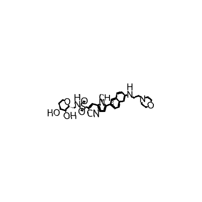 Cn1c(/C=C(\C#N)S(=O)(=O)NC[C@H]2OCC[C@@H](O)[C@@H]2O)ccc1-c1ccc2cc(NCCN3CCOCC3)ccc2c1